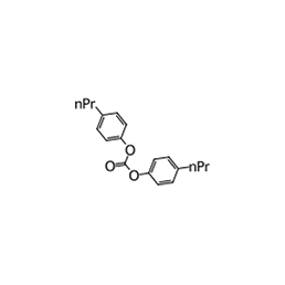 CCCc1ccc(OC(=O)Oc2ccc(CCC)cc2)cc1